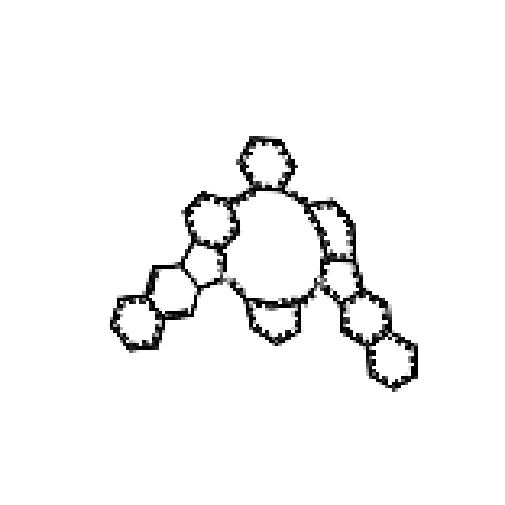 C1=c2ccccc2=CC2C1c1ccc3cc1n2c1cccc(c1)n1c2cc4ccccc4cc2c2ccc(cc21)c1ccccc31